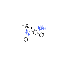 CC(C)Cn1nc(-c2ccccc2)nc1Cc1ccc(-c2ccccc2-c2nnn[nH]2)cc1